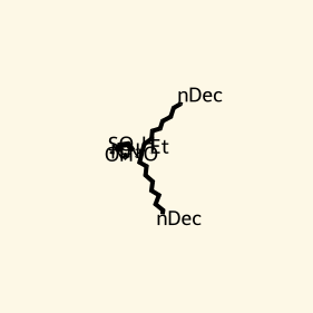 CCCCCCCCCCCCCCCCCCC(CCCCCCCCCCCCCCCCCC)(OCC)n1ccnc1.O=S(=O)(O)O